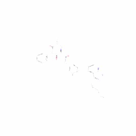 COCC(C)Nc1n[nH]c2nccc(Oc3ccc(NC(=O)c4nn(C(C)C)c(=O)n(-c5ccc(F)cc5)c4=O)cc3F)c12